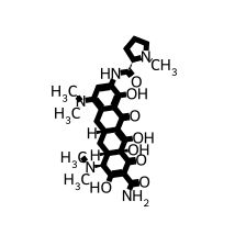 CN(C)c1cc(NC(=O)[C@@H]2CCCN2C)c(O)c2c1C[C@H]1C[C@H]3[C@H](N(C)C)C(O)=C(C(N)=O)C(=O)[C@@]3(O)C(O)=C1C2=O